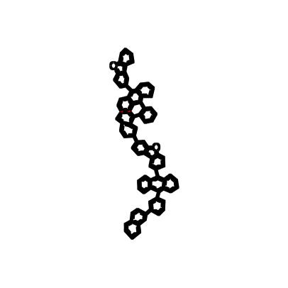 c1cc(-c2ccc3ccccc3c2)cc(-c2c3ccccc3c(-c3ccc4oc5cc(-c6ccc7cccc(-c8ccccc8-c8c9ccccc9c(-c9ccc%10oc%11ccccc%11c%10c9)c9ccccc89)c7c6)ccc5c4c3)c3ccccc23)c1